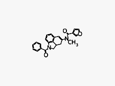 CN(C(=O)c1ccoc1)C1=Cc2cccc3c2C(C1)CN3C(=O)c1ccccc1